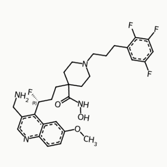 COc1ccc2ncc(CN)c([C@H](F)CCC3(C(=O)NO)CCN(CCCc4cc(F)cc(F)c4F)CC3)c2c1